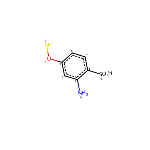 Nc1cc(OS)ccc1S(=O)(=O)O